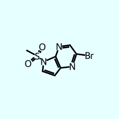 CS(=O)(=O)n1ccc2nc(Br)cnc21